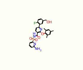 Cc1cc(C)c(Oc2nc(-c3cc(CO)ccc3F)ccc2C(=O)NS(=O)(=O)c2cccc(N)n2)c(C)c1